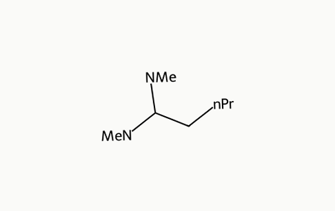 CCCCC(NC)NC